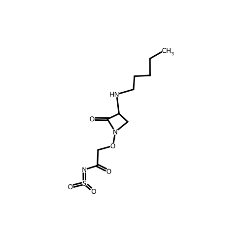 CCCCCNC1CN(OCC(=O)N=S(=O)=O)C1=O